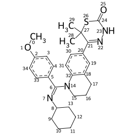 COc1ccc(/C(=N/C2CCCCC2)N2CCCc3cc(C4=NNC(=O)SC4(C)C)ccc32)cc1